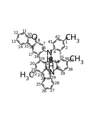 Cc1ccc(Nc2cc3oc4ccccc4c3cc2-c2cc(C)c3c4ccccc4n4c3c2Bc2cc(C)ccc2-4)cc1